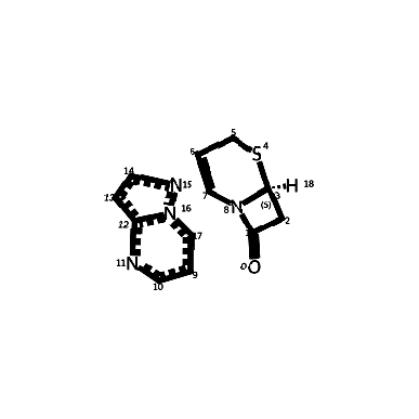 O=C1C[C@@H]2SCC=CN12.c1cnc2ccnn2c1